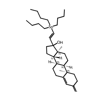 CCC[CH2][Sn]([CH]=CC1(O)CC[C@H]2[C@@H]3CCC4=CC(=O)CC[C@]4(C)[C@@H]3CC[C@@]21C)([CH2]CCC)[CH2]CCC